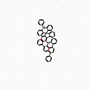 c1ccc(-c2ccc(-c3ccccc3N(c3ccccc3-c3ccccc3)c3cccc4c3-c3ccccc3C43c4ccccc4N(c4ccccc4)c4ccccc43)cc2)cc1